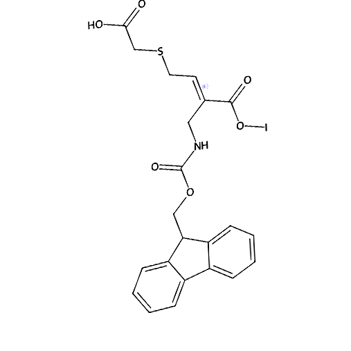 O=C(O)CSC/C=C(\CNC(=O)OCC1c2ccccc2-c2ccccc21)C(=O)OI